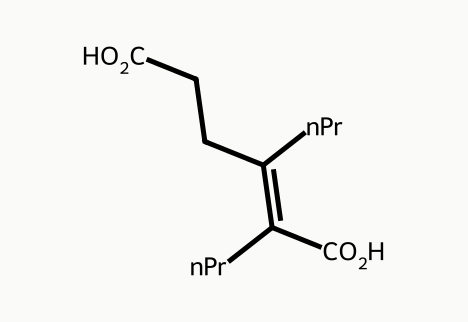 CCC/C(CCC(=O)O)=C(/CCC)C(=O)O